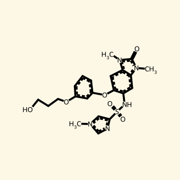 Cn1cnc(S(=O)(=O)Nc2cc3c(cc2Oc2cccc(OCCCO)c2)n(C)c(=O)n3C)c1